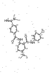 CN(C)C(=N)c1ccc(C(=O)Nc2ccc(N(C)C)cc2C(=O)Nc2ccc(Cl)cn2)cc1